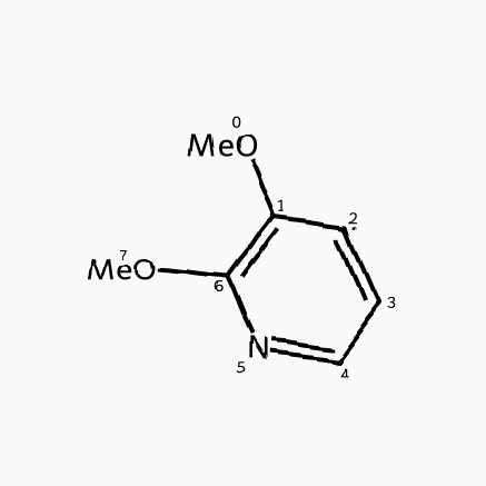 COc1[c]ccnc1OC